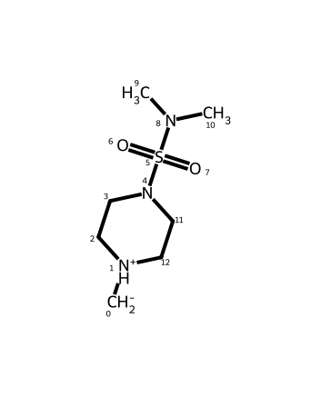 [CH2-][NH+]1CCN(S(=O)(=O)N(C)C)CC1